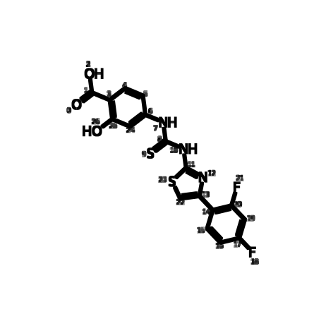 O=C(O)c1ccc(NC(=S)Nc2nc(-c3ccc(F)cc3F)cs2)cc1O